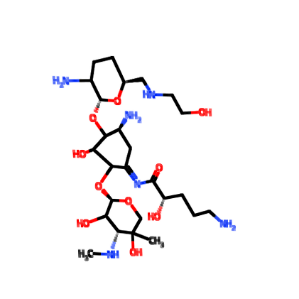 CN[C@@H]1C(O)[C@@H](OC2/C(=N/C(=O)[C@@H](O)CCCN)C[C@H](N)C(O[C@H]3O[C@H](CNCCO)CCC3N)C2O)OCC1(C)O